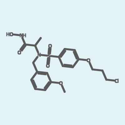 COc1cccc(CN(C(C)C(=O)NO)S(=O)(=O)c2ccc(OCCCCl)cc2)c1